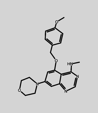 CNc1ncnc2cc(N3CCOCC3)cc(OCc3ccc(OC)cc3)c12